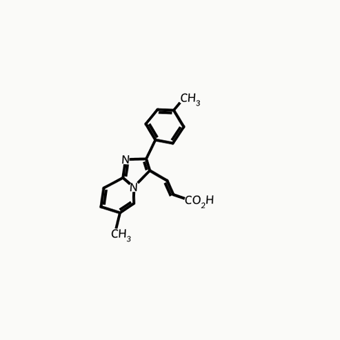 Cc1ccc(-c2nc3ccc(C)cn3c2C=CC(=O)O)cc1